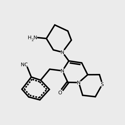 N#Cc1ccccc1CN1C(=O)N2CCSCC2C=C1N1CCCC(N)C1